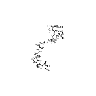 CC(C)c1cc(-c2nnc(O)n2-c2ccc3c(ccn3CCOCCN(C)C(=O)CCC(=O)Nc3cccc4c3CN(C3CCC(=O)NC3=O)C4O)c2)c(O)cc1O